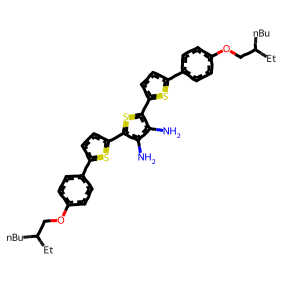 CCCCC(CC)COc1ccc(-c2ccc(-c3sc(-c4ccc(-c5ccc(OCC(CC)CCCC)cc5)s4)c(N)c3N)s2)cc1